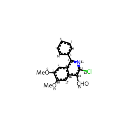 COc1cc2c(-c3ccccc3)nc(Cl)c(C=O)c2cc1OC